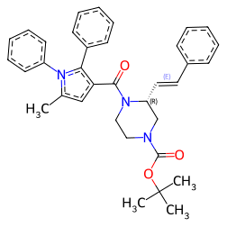 Cc1cc(C(=O)N2CCN(C(=O)OC(C)(C)C)C[C@H]2/C=C/c2ccccc2)c(-c2ccccc2)n1-c1ccccc1